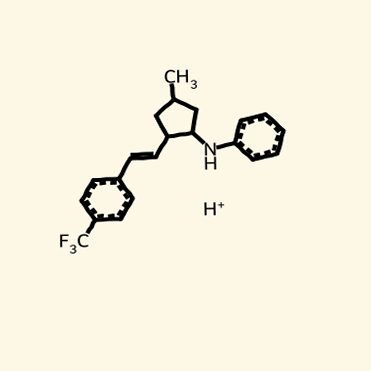 CC1CC(C=Cc2ccc(C(F)(F)F)cc2)C(Nc2ccccc2)C1.[H+]